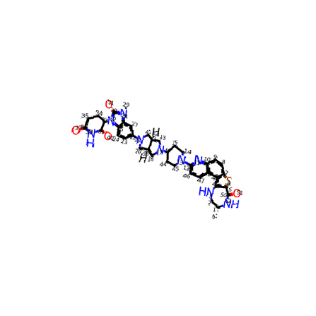 C[C@@H]1CNc2c(sc3ccc4nc(N5CCC(N6C[C@H]7CN(c8ccc9c(c8)n(C)c(=O)n9C8CCC(=O)NC8=O)C[C@H]7C6)CC5)ccc4c23)C(=O)N1